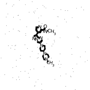 CNC(=O)c1cc(-c2cnn3cc(N4CCC(N5CCN(C)CC5)CC4)cnc23)ccn1